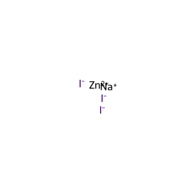 [I-].[I-].[I-].[Na+].[Zn+2]